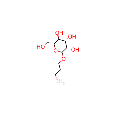 BCCCOC1O[C@H](CO)[C@@H](O)[C@H](O)[C@@H]1O